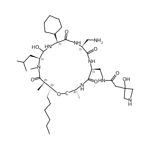 CCCCCC[C@H]1OC[C@@H](C)NC(=O)[C@H](CNC(=O)CC2(O)CNC2)NC(=O)[C@H](CN)NC(=O)[C@H](C2CCCCC2)NC(O)[C@H](CC(C)C)N(C)C(=O)[C@@H]1C